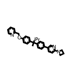 CC(C)C(C)(c1ccc(OCc2ccccn2)cc1)c1ccc(-c2ccc(N3CCC3)nc2)cc1